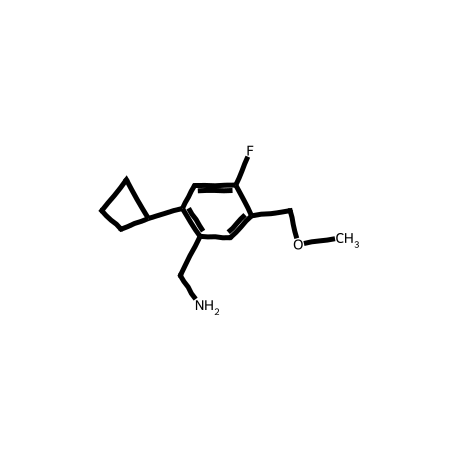 COCc1cc(CN)c(C2CCC2)cc1F